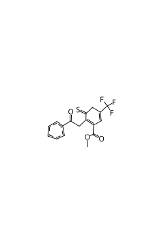 COC(=O)C1=C(CC(=O)c2ccccc2)C(=S)CC(C(F)(F)F)=C1